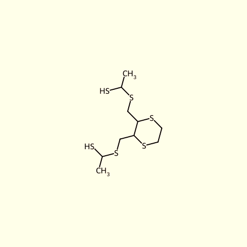 CC(S)SCC1SCCSC1CSC(C)S